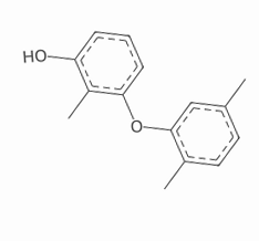 Cc1ccc(C)c(Oc2cccc(O)c2C)c1